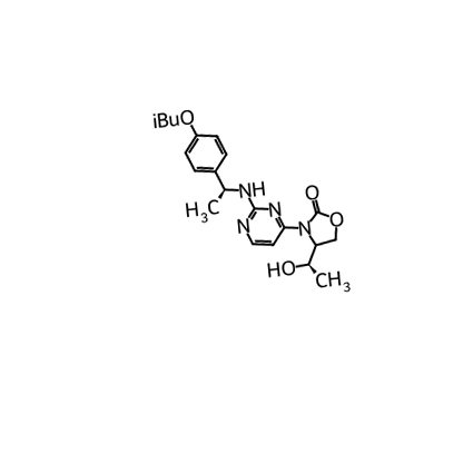 CC(C)COc1ccc([C@H](C)Nc2nccc(N3C(=O)OCC3[C@@H](C)O)n2)cc1